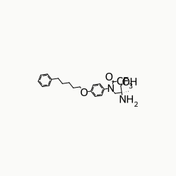 C[C@@](N)(CO)CN(C(=O)C(F)(F)F)c1ccc(OCCCCCc2ccccc2)cc1